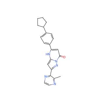 Cc1nccnc1-c1cc2[nH]c(-c3ccc(C4CCCC4)cc3)cc(=O)n2n1